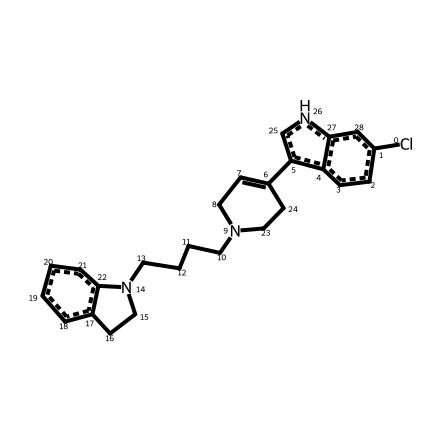 Clc1ccc2c(C3=CCN(CCCCN4CCc5ccccc54)CC3)c[nH]c2c1